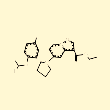 CCOC(=O)c1cnn2ccc(N3CCC[C@@H]3c3cc(F)ccc3OC(F)F)cc12